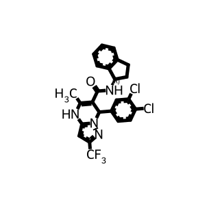 CC1=C(C(=O)N[C@@H]2CCc3ccccc32)C(c2ccc(Cl)c(Cl)c2)n2nc(C(F)(F)F)cc2N1